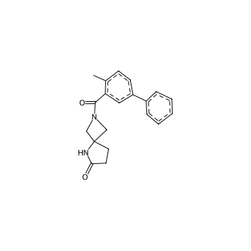 Cc1ccc(-c2ccccc2)cc1C(=O)N1CC2(CCC(=O)N2)C1